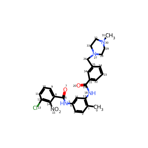 Cc1ccc(NC(=O)c2cccc(Cl)c2[N+](=O)[O-])cc1NC(=O)c1cccc(CN2CCN(C)CC2)c1